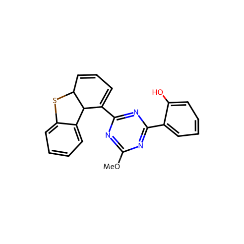 COc1nc(C2=CC=CC3Sc4ccccc4C23)nc(-c2ccccc2O)n1